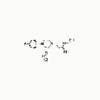 CCOC(=N)CCN1CCN(c2ccc(F)cc2)CC1.Cl.Cl.Cl